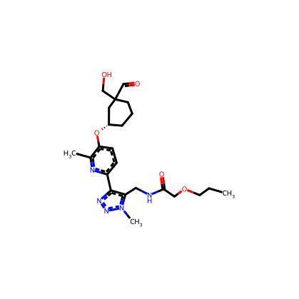 CCCOCC(=O)NCc1c(-c2ccc(O[C@H]3CCCC(C=O)(CO)C3)c(C)n2)nnn1C